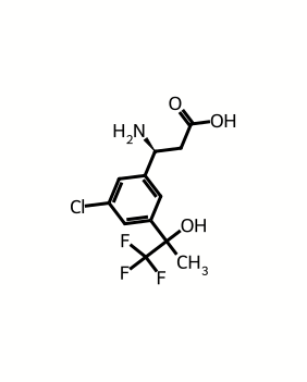 CC(O)(c1cc(Cl)cc([C@@H](N)CC(=O)O)c1)C(F)(F)F